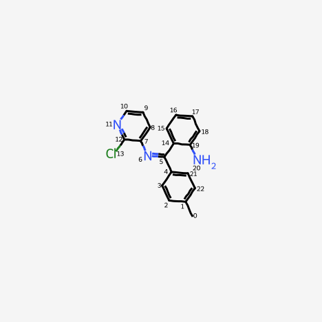 Cc1ccc(/C(=N/c2cccnc2Cl)c2ccccc2N)cc1